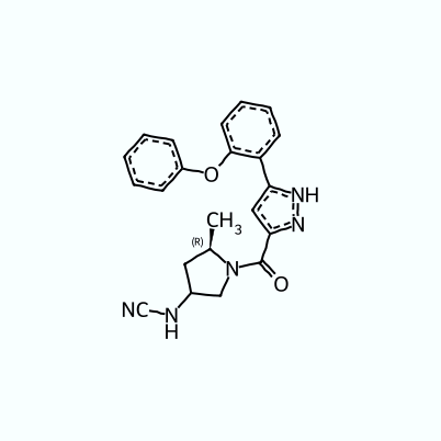 C[C@@H]1CC(NC#N)CN1C(=O)c1cc(-c2ccccc2Oc2ccccc2)[nH]n1